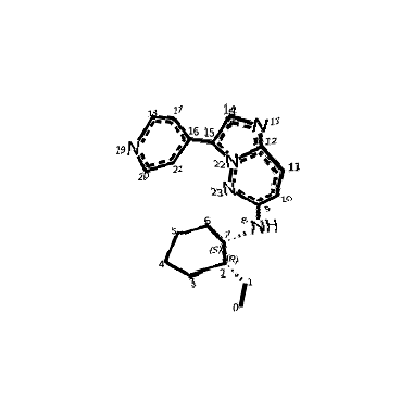 CC[C@@H]1CCCC[C@@H]1Nc1ccc2ncc(-c3ccncc3)n2n1